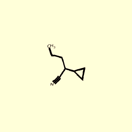 CCCC(C#N)C1CC1